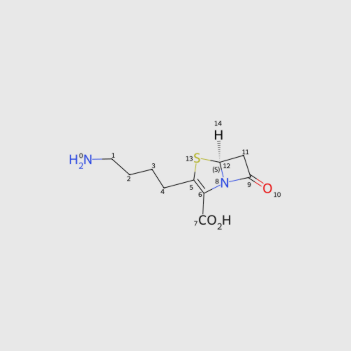 NCCCCC1=C(C(=O)O)N2C(=O)C[C@@H]2S1